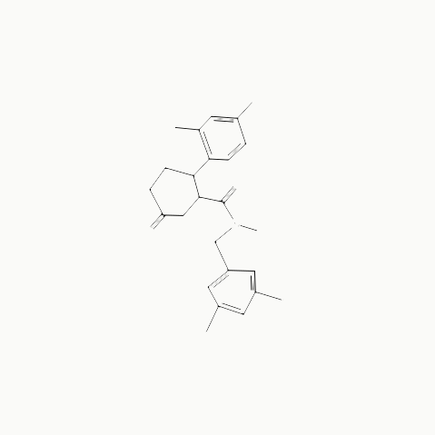 Cc1cc(F)ccc1C1CCC(=O)CC1C(=O)N(C)Cc1cc(Cl)cc(Cl)c1